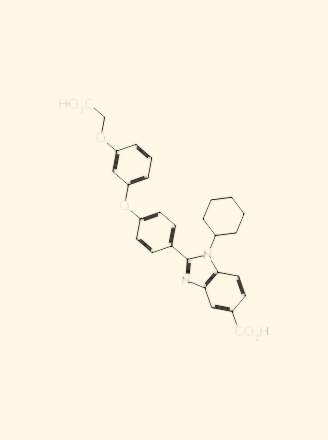 O=C(O)COc1cccc(Oc2ccc(-c3nc4cc(C(=O)O)ccc4n3C3CCCCC3)cc2)c1